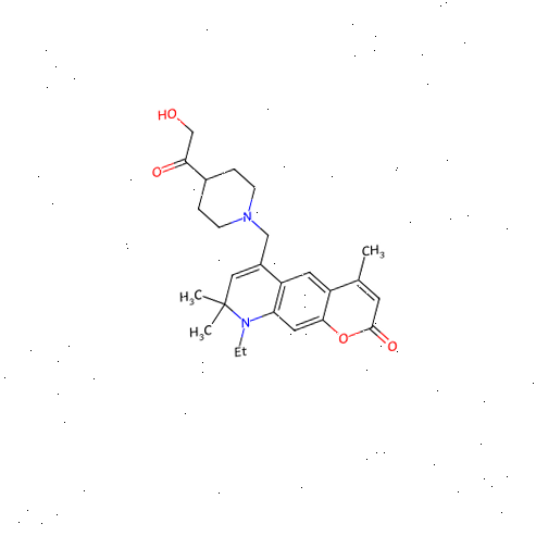 CCN1c2cc3oc(=O)cc(C)c3cc2C(CN2CCC(C(=O)CO)CC2)=CC1(C)C